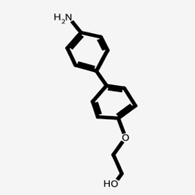 Nc1ccc(-c2ccc(OCCO)cc2)cc1